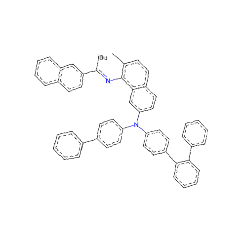 CCC(C)/C(=N\c1c(C)ccc2ccc(N(c3ccc(-c4ccccc4)cc3)c3ccc(-c4ccccc4-c4ccccc4)cc3)cc12)c1ccc2ccccc2c1